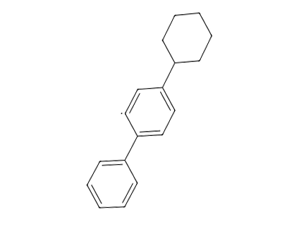 [c]1cc(C2CCCCC2)ccc1-c1ccccc1